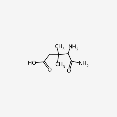 CC(C)(CC(=O)O)C(N)C(N)=O